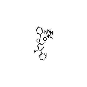 Cn1nnn(-c2ccccc2COc2cc(F)c(-c3ccccn3)cc2F)c1=O